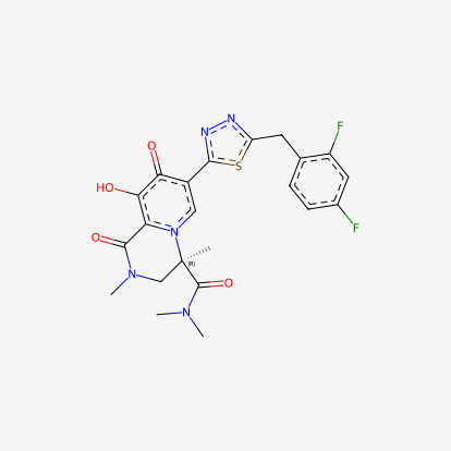 CN(C)C(=O)[C@@]1(C)CN(C)C(=O)c2c(O)c(=O)c(-c3nnc(Cc4ccc(F)cc4F)s3)cn21